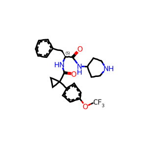 O=C(NC1CCNCC1)[C@H](Cc1ccccc1)NC(=O)C1(c2ccc(OC(F)(F)F)cc2)CC1